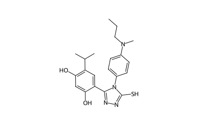 CCCN(C)c1ccc(-n2c(S)nnc2-c2cc(C(C)C)c(O)cc2O)cc1